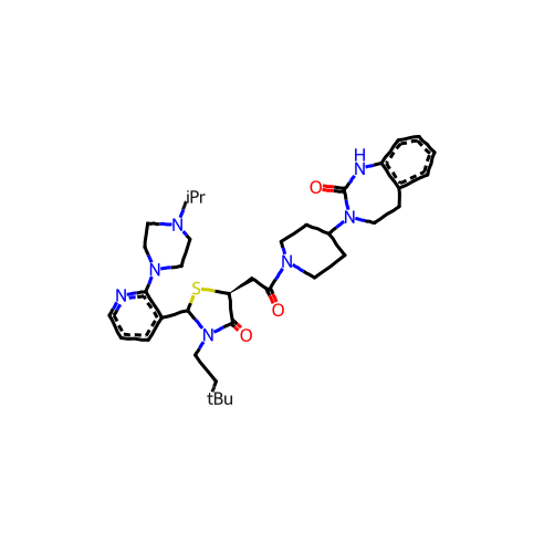 CC(C)N1CCN(c2ncccc2C2S[C@@H](CC(=O)N3CCC(N4CCc5ccccc5NC4=O)CC3)C(=O)N2CCC(C)(C)C)CC1